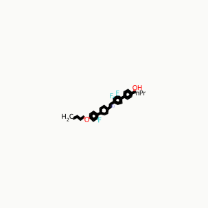 C=CCCCOc1ccc(C2CCC(/C=C/c3ccc(-c4ccc(C(O)CCC)cc4)c(F)c3F)CC2)c(F)c1